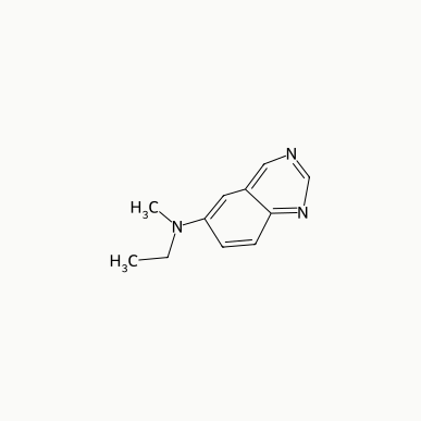 CCN(C)c1ccc2ncncc2c1